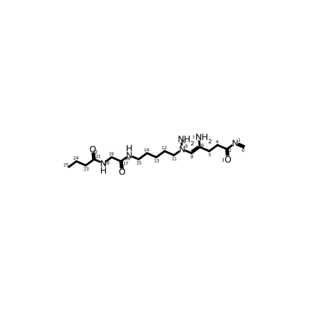 C=NC(=O)CC/C(N)=C/N(N)CCCCCNC(=O)CNC(=O)CCC